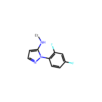 CCNc1ccnn1-c1ccc(F)cc1F